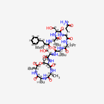 CCC[C@@H](NC(=O)[C@@H](CCC(N)=O)NC(=O)[C@H](CO)NC(=O)[C@@H](NC(=O)[C@@H](Cc1ccccc1)NC)[C@@H](C)CC)C(=O)N[C@H](C(=O)N[C@@H](CO)C(=O)N[C@H]1C(=O)N[C@@H](C)C(=O)N[C@@H](C(C)CC)C(=O)N[C@@H]([C@@H](C)CC)C(=O)O[C@H]1C)[C@@H](C)CC